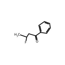 CC(F)CC(=O)c1ccccc1